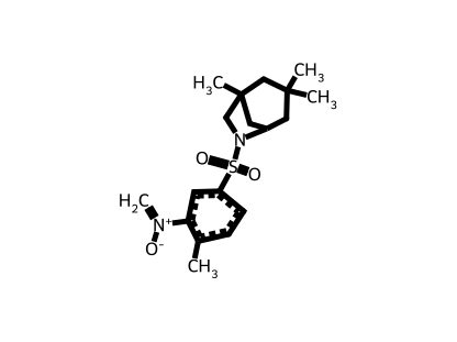 C=[N+]([O-])c1cc(S(=O)(=O)N2CC3(C)CC2CC(C)(C)C3)ccc1C